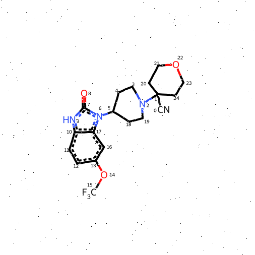 N#CC1(N2CCC(n3c(=O)[nH]c4ccc(OC(F)(F)F)cc43)CC2)CCOCC1